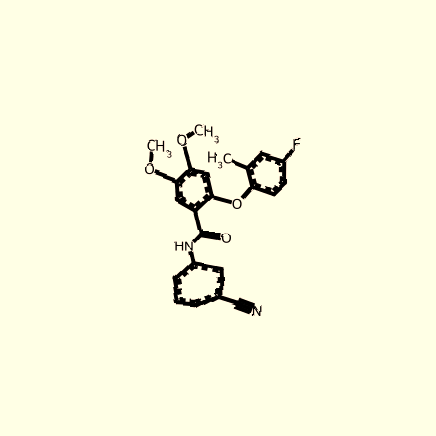 COc1cc(Oc2ccc(F)cc2C)c(C(=O)Nc2cccc(C#N)c2)cc1OC